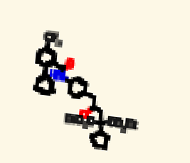 CCOC(=O)C(CC(=O)Cc1ccc(NC(=O)c2cc(C(F)(F)F)ccc2-c2ccccc2)cc1)(C(=O)OCC)C1CCCC1